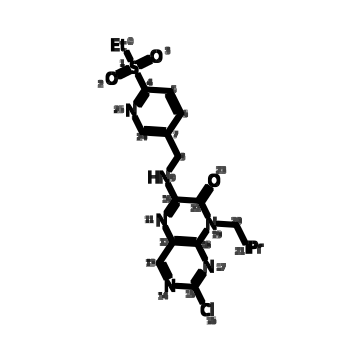 CCS(=O)(=O)c1ccc(CNc2nc3cnc(Cl)nc3n(CC(C)C)c2=O)cn1